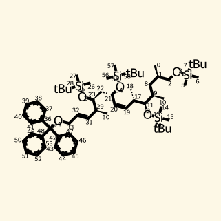 C[C@@H](CO[Si](C)(C)C(C)(C)C)C[C@@H](C)[C@@H](O[Si](C)(C)C(C)(C)C)[C@@H](C)/C=C\[C@H](C[C@H](O[Si](C)(C)C(C)(C)C)[C@@H](C)/C=C/COC(c1ccccc1)(c1ccccc1)c1ccccc1)O[Si](C)(C)C(C)(C)C